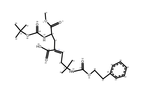 COC(=O)C(C/C(=C/CC(C)(C)NC(=O)OCCc1ccccc1)C(=O)O)NC(=O)OC(C)(C)C